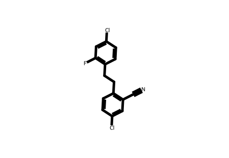 N#Cc1cc(Cl)ccc1CCc1ccc(Cl)cc1F